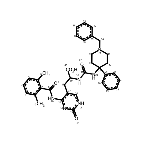 Cc1cccc(C)c1C(=O)Nc1nc(=O)[nH]cc1CC(NC(=O)NC1(c2ccccc2)CCN(Cc2ccccc2)CC1)C(=O)O